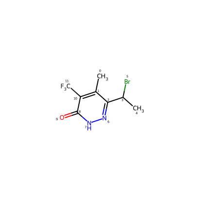 Cc1c(C(C)Br)n[nH]c(=O)c1C(F)(F)F